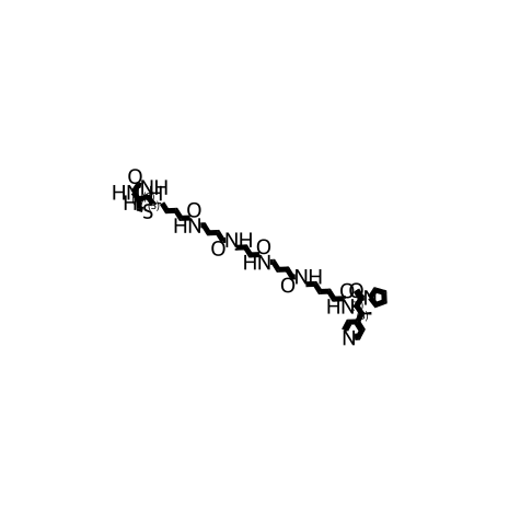 C[C@@H](c1ccncc1)[C@@H](NC(=O)CCCCCNC(=O)CCCNC(=O)CCCNC(=O)CCCNC(=O)CCCC[C@@H]1SC[C@@H]2NC(=O)N[C@@H]21)C(=O)N1CCCC1